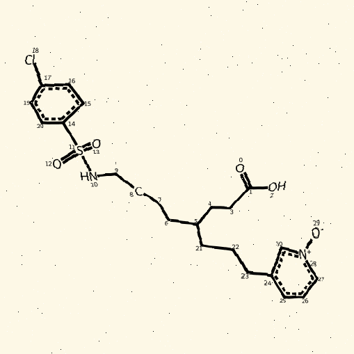 O=C(O)CCC(CCCCNS(=O)(=O)c1ccc(Cl)cc1)CCCc1ccc[n+]([O-])c1